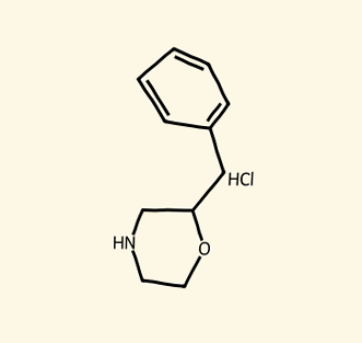 Cl.c1ccc(CC2CNCCO2)cc1